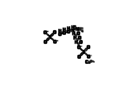 O.O.O.O.O.O.O=S(=O)([O-])[O-].O=S(=O)([O-])[O-].[Cu+2].[NH4+].[NH4+]